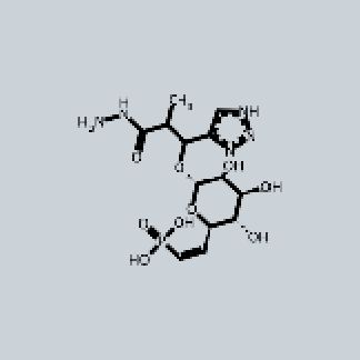 CC(C(=O)NN)C(O[C@H]1O[C@H](/C=C\P(=O)(O)O)[C@@H](O)[C@H](O)[C@@H]1O)c1c[nH]nn1